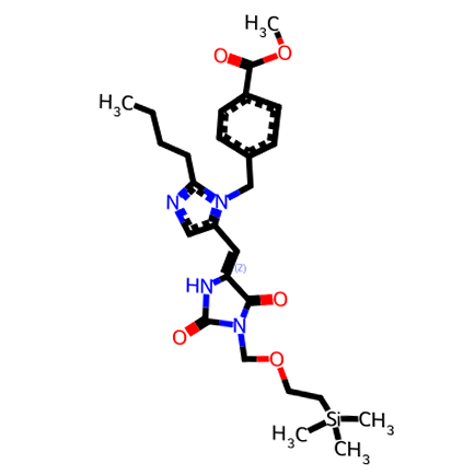 CCCCc1ncc(/C=C2\NC(=O)N(COCC[Si](C)(C)C)C2=O)n1Cc1ccc(C(=O)OC)cc1